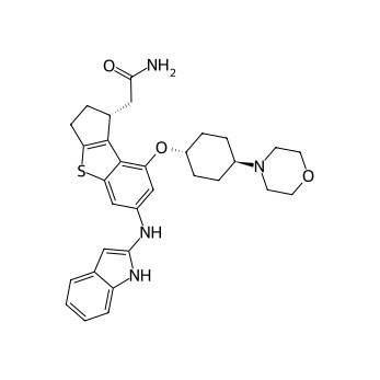 NC(=O)C[C@H]1CCc2sc3cc(Nc4cc5ccccc5[nH]4)cc(O[C@H]4CC[C@H](N5CCOCC5)CC4)c3c21